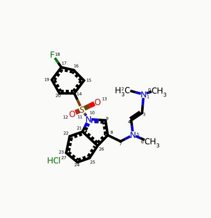 CN(C)/C=C/N(C)Cc1cn(S(=O)(=O)c2ccc(F)cc2)c2ccccc12.Cl